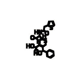 O=C(Cc1cccs1)NC1C(=O)N2C(C(=O)O)=C(C(O)c3ccccc3)CS[C@@H]12